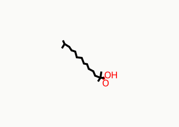 CC(C)CCCCCCCCCCC(C)(C)C(=O)O